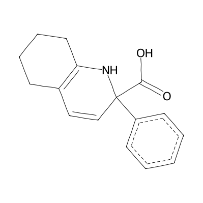 O=C(O)C1(c2ccccc2)C=CC2=C(CCCC2)N1